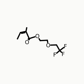 CC=C(C)C(=O)OCCOCC(F)(F)F